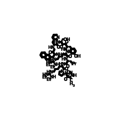 CCNC(NCC)NCCCCC(NN[C@@H](Cc1ccc(O)cc1)C(=O)C(=O)[C@H](CO)NC(=O)C(Cc1cccnc1)NCC(=O)C(Cc1ccc2ccccc2c1)NC(C)=O)C(=O)N[C@@H](CC(C)C)C(=O)NC(CCCCNC(NCC)NCC)C(=O)N1CCC[C@H]1C(=O)C(=O)C(C)NN